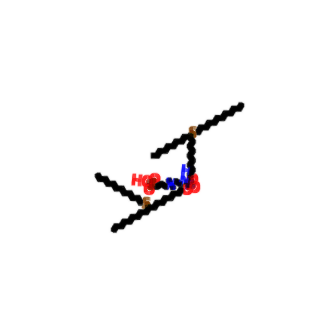 CCCCCCCCCCCCSC(CCCCCCCCC)CCCCCCCCOP(=O)(NCC[N+](C)(C)CCCS(=O)(=O)O)OCCCCCCCCC(CCCCCCCCC)SCCCCCCCCCCCC